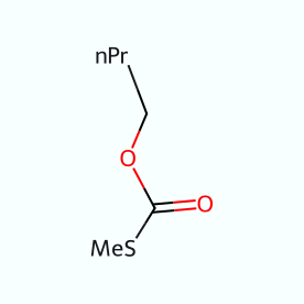 [CH2]SC(=O)OCCCC